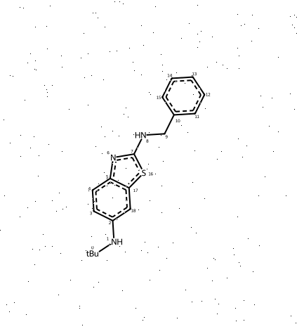 CC(C)(C)Nc1ccc2nc(NCc3ccccc3)sc2c1